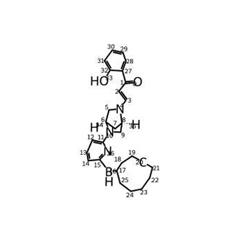 O=C(/C=C/N1C[C@H]2C[C@@H]1CN2c1cccc(BC2CCCCCCCC2)n1)c1ccccc1O